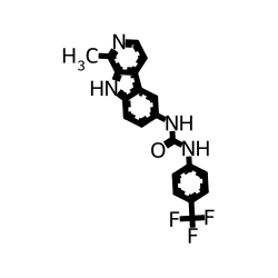 Cc1nccc2c1[nH]c1ccc(NC(=O)Nc3ccc(C(F)(F)F)cc3)cc12